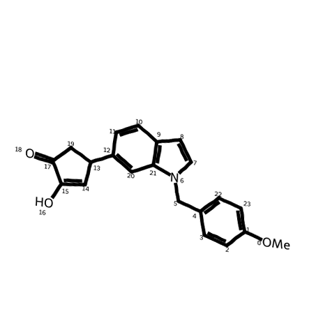 COc1ccc(Cn2ccc3ccc(C4C=C(O)C(=O)C4)cc32)cc1